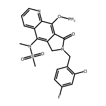 CN(c1c2c(c(OP)c3ncccc13)C(=O)N(Cc1ccc(F)cc1Cl)C2)S(C)(=O)=O